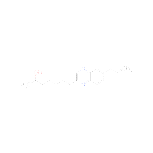 C=CCc1ccc2nc(C=CCCCC(C)O)cnc2c1